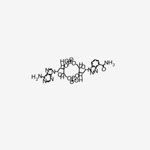 NC(=O)c1cccc2c1nnn2[C@H]1C[C@@H]2OP(=O)(O)OC[C@H]3O[C@@H](n4cnc5c(N)ncnc54)C[C@@H]3OP(=O)(O)OC[C@H]2O1